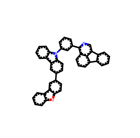 c1cc(-c2ncc3c4c(cccc24)-c2ccccc2-3)cc(-n2c3ccccc3c3cc(-c4ccc5oc6ccccc6c5c4)ccc32)c1